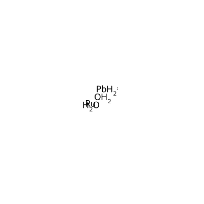 O.O.[PbH2].[Ru]